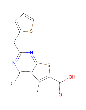 Cc1c(C(=O)O)sc2nc(Cc3cccs3)nc(Cl)c12